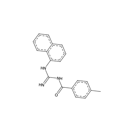 Cc1ccc(C(=O)NC(=N)Nc2cccc3ccccc23)cc1